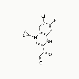 O=CC(=O)C1=CN(C2CC2)c2cc(Cl)c(F)cc2N1